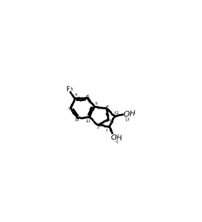 OC1C2CC(c3cc(F)ccc32)C1O